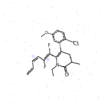 C=C/C=C\C(F)=C(/F)C1=C(c2cc(OC)ccc2Cl)CC(C)C(=O)N1CC